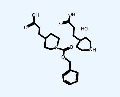 Cl.O=C(O)CCC1CCN(C(=O)OCc2ccccc2)CC1.O=C(O)CCC1CCNCC1